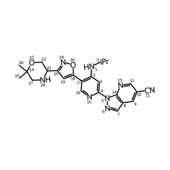 CC(C)Nc1cc(-n2ncc3cc(C#N)cnc32)ncc1-c1cc(C2COC(C)(C)CN2)no1